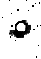 CC(=O)NNC(=O)N[C@H]1[C@@H]2C[C@@H](O[C@@H]3O[C@H](C)[C@@H](O)[C@H](N)[C@@H]3O)/C=C/C=C/C=C/C=C/C=C/C=C/C=C/[C@H](C)[C@@H](O)[C@@H](C)[C@H](C)OC(=O)C[C@H](O)C[C@H](O)CC[C@@H](O)[C@H](O)C[C@H](O)C[C@](O)(C[C@@H]1O)O2